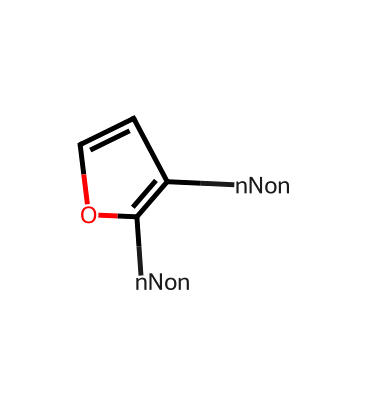 CCCCCCCCCc1ccoc1CCCCCCCCC